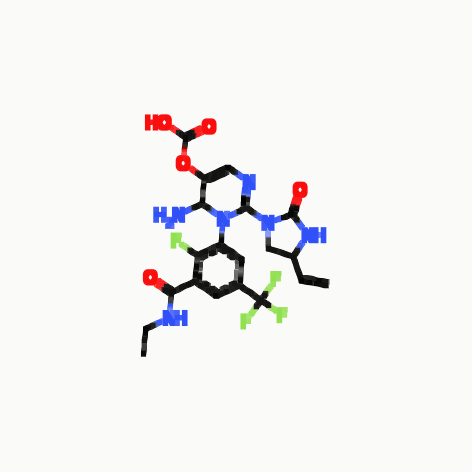 C=CC1CN(C2=NC=C(OC(=O)O)C(N)N2c2cc(C(F)(F)F)cc(C(=O)NCC)c2F)C(=O)N1